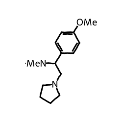 C[N]C(CN1CCCC1)c1ccc(OC)cc1